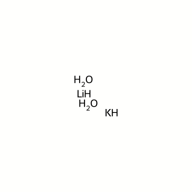 O.O.[KH].[LiH]